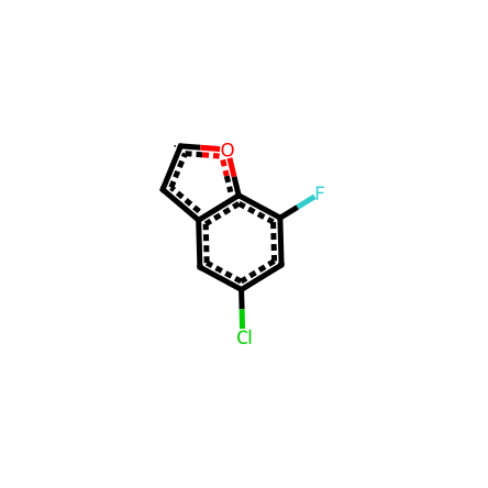 Fc1cc(Cl)cc2c[c]oc12